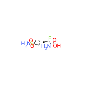 N[C@H](C(=O)O)[C@H](F)C#Cc1ccc(S(N)(=O)=O)cc1